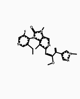 C=C(/C(=C\c1ncc2c(c1C)n(-c1c(F)cncc1CC)c(=O)n2C)OC)c1cnn(C)c1